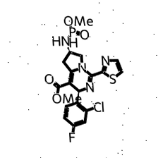 COC(=O)C1=C2C[C@H](N[PH](=O)OC)CN2C(c2nccs2)=N[C@H]1c1ccc(F)cc1Cl